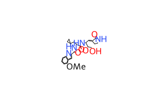 COc1cccc2[nH]c(C(=O)N3CC4(CC4)C[C@H]3C(=O)N[C@@H](/C=C3\CCNC3=O)C(=O)CO)cc12